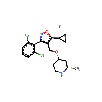 C[C@H]1C[C@@H](OCc2c(-c3c(Cl)cccc3Cl)noc2C2CC2)CCN1.Cl